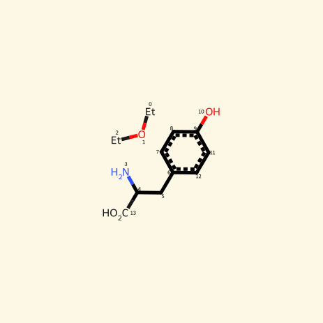 CCOCC.NC(Cc1ccc(O)cc1)C(=O)O